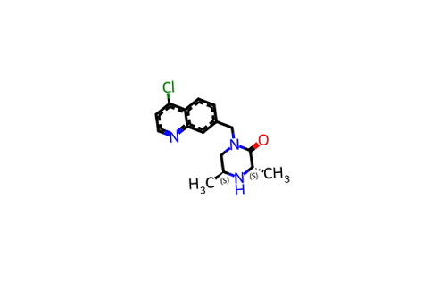 C[C@@H]1N[C@@H](C)CN(Cc2ccc3c(Cl)ccnc3c2)C1=O